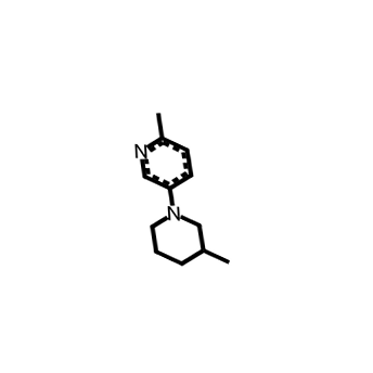 Cc1ccc(N2CCCC(C)C2)cn1